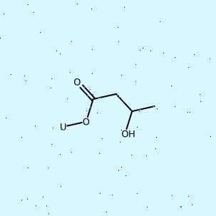 CC(O)CC(=O)[O][U]